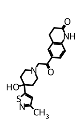 Cc1cc(C2(O)CCN(CC(=O)c3ccc4c(c3)CCC(=O)N4)CC2)sn1